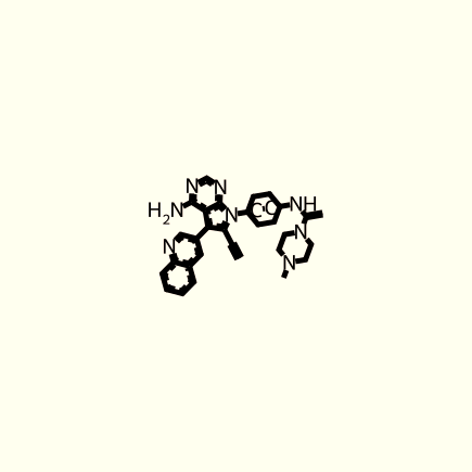 C#Cc1c(-c2cnc3ccccc3c2)c2c(N)ncnc2n1C12CCC(NC(=C)N3CCN(C)CC3)(CC1)CC2